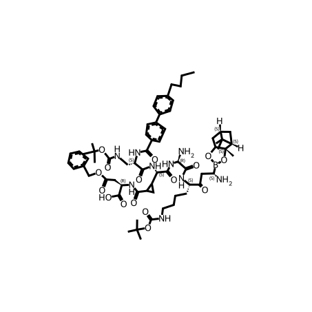 CCCCc1ccc(-c2ccc(C(=O)N[C@@H](CNC(=O)OC(C)(C)C)C(=O)N[C@H](C(=O)N[C@@H](N)C(=O)N[C@@H](CCCCNC(=O)OC(C)(C)C)C(=O)C[C@@H](N)B3OC4C[C@@H]5C[C@@H](C5(C)C)[C@]4(C)O3)C3CC3C(=O)N[C@H](CC(=O)OCc3ccccc3)C(=O)O)cc2)cc1